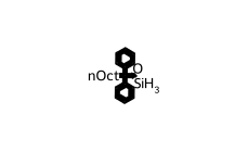 CCCCCCCCC(C(=O)[SiH3])(c1ccccc1)c1ccccc1